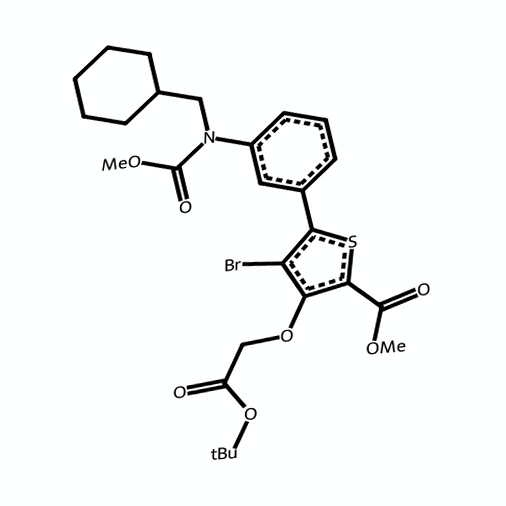 COC(=O)c1sc(-c2cccc(N(CC3CCCCC3)C(=O)OC)c2)c(Br)c1OCC(=O)OC(C)(C)C